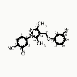 Cc1nn(-c2ccc(C#N)c(Cl)c2)c(C)c1COc1cccc(Br)c1